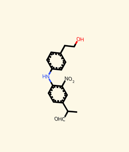 CC(C=O)c1ccc(Nc2ccc(CCO)cc2)c([N+](=O)[O-])c1